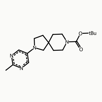 Cc1ncc(N2CCC3(CCN(C(=O)OC(C)(C)C)CC3)C2)cn1